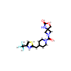 O=C1NC2(CO1)CN(C(=O)N1CCC(Cc3nc(C(F)(F)F)cs3)CC1)C2